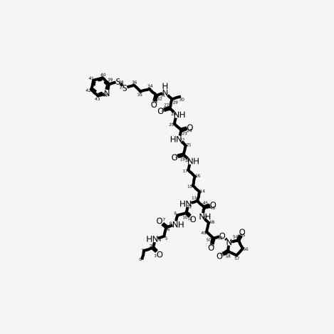 CCC(=O)NCC(=O)NCC(=O)NC(CCCCNC(=O)CNC(=O)CNC(=O)C(C)NC(=O)CCCSSc1ccccn1)C(=O)NCCC(=O)ON1C(=O)CCC1=O